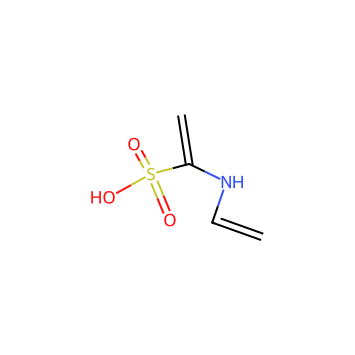 C=CNC(=C)S(=O)(=O)O